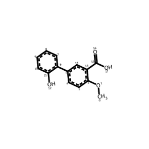 COc1ccc(-c2ccccc2O)cc1C(=O)O